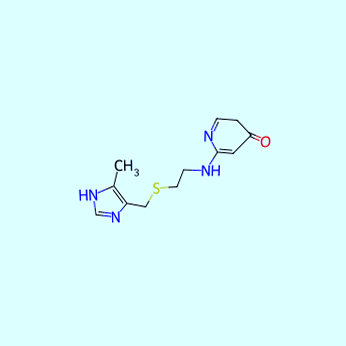 Cc1[nH]cnc1CSCCNC1=CC(=O)CC=N1